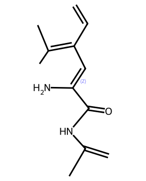 C=CC(/C=C(\N)C(=O)NC(=C)C)=C(C)C